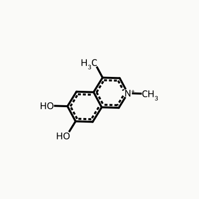 Cc1c[n+](C)cc2cc(O)c(O)cc12